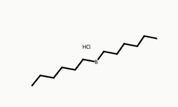 CCCCCC[B]CCCCCC.Cl